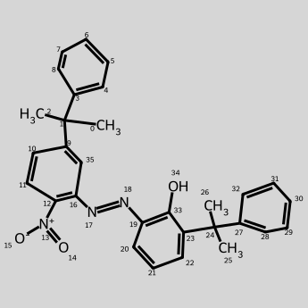 CC(C)(c1ccccc1)c1ccc([N+](=O)[O-])c(N=Nc2cccc(C(C)(C)c3ccccc3)c2O)c1